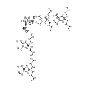 CCCC[N+](CCCC)(CCCC)CCCC.CCCC[N+](CCCC)(CCCC)CCCC.CCCC[N+](CCCC)(CCCC)CCCC.CCCC[N+](CCCC)(CCCC)CCCC.[O-]BF.[O-]BF.[O-]BF.[O-]BF